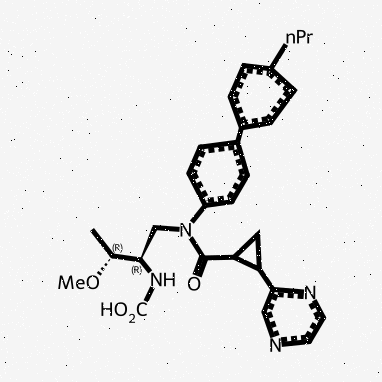 CCCc1ccc(-c2ccc(N(C[C@@H](NC(=O)O)[C@@H](C)OC)C(=O)C3CC3c3cnccn3)cc2)cc1